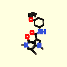 CCCOC1CCCC(NC(=O)c2cn(C)c3c(C)cn(C)c(=O)c23)C1